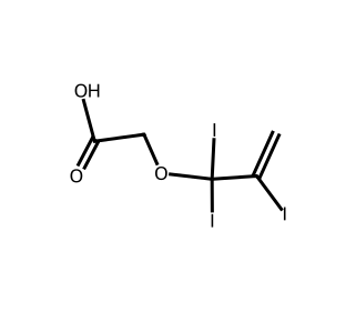 C=C(I)C(I)(I)OCC(=O)O